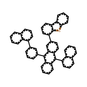 c1cc(-c2cccc3ccccc23)cc(-c2c3ccccc3c(-c3cccc4ccccc34)c3ccc(-c4cccc5c4sc4ccccc45)cc23)c1